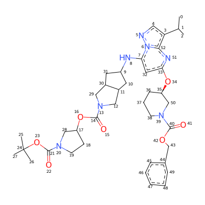 CC(C)c1cnn2c(NC3CC4CN(C(=O)OC5CCN(C(=O)OC(C)(C)C)C5)CC4C3)cc(O[C@@H]3CCCN(C(=O)OCc4ccccc4)C3)nc12